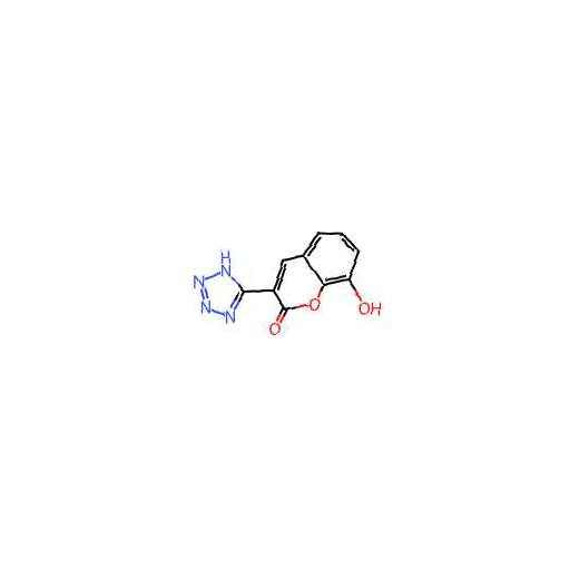 O=c1oc2c(O)cccc2cc1-c1nnn[nH]1